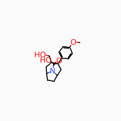 COc1ccc(C2CC3CCC(CC2CO)N3C(=O)O)cc1